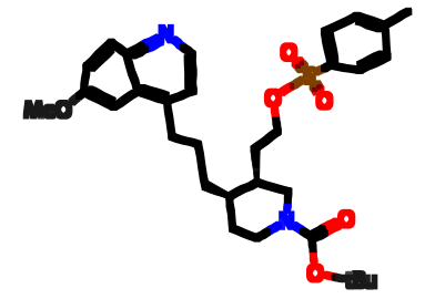 COc1ccc2nccc(CCC[C@@H]3CCN(C(=O)OC(C)(C)C)C[C@@H]3CCOS(=O)(=O)c3ccc(C)cc3)c2c1